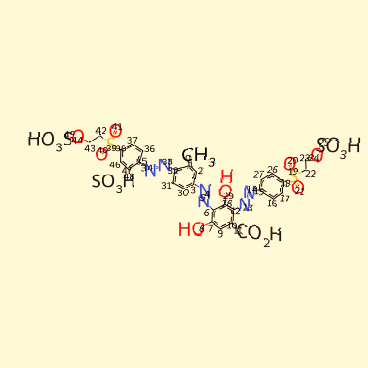 Cc1cc(N=Nc2c(O)cc(C(=O)O)c(N=Nc3ccc(S(=O)(=O)CCOS(=O)(=O)O)cc3)c2O)ccc1N=Nc1ccc(S(=O)(=O)CCOS(=O)(=O)O)cc1S(=O)(=O)O